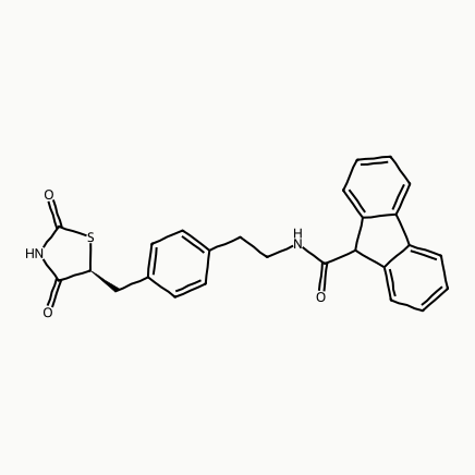 O=C1NC(=O)[C@H](Cc2ccc(CCNC(=O)C3c4ccccc4-c4ccccc43)cc2)S1